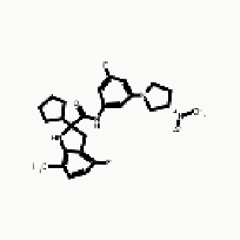 CC(=O)N(C)[C@H]1CCN(c2cc(F)cc(NC(=O)C3(C4CCCC4)Cc4c(F)ccc(C)c4N3)c2)C1